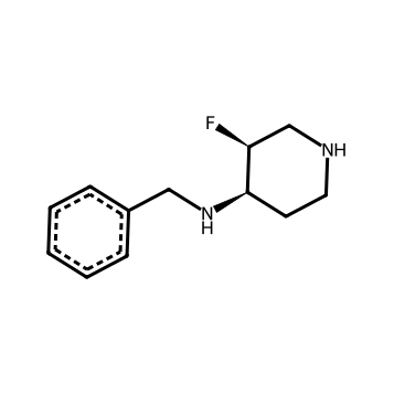 F[C@H]1CNCC[C@H]1NCc1ccccc1